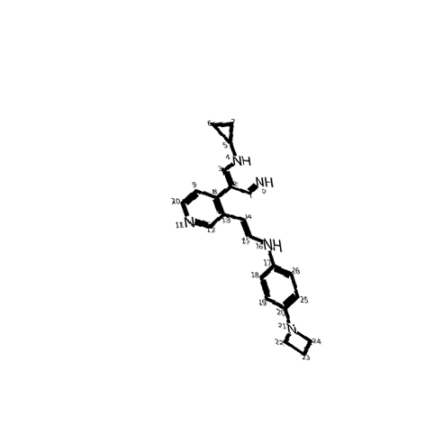 N=C/C(=C\NC1CC1)c1ccncc1/C=C/Nc1ccc(N2CCC2)cc1